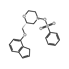 O=S(=O)(ON1CCO[C@@H](COc2cccc3c2CC=C3)C1)c1ccccc1